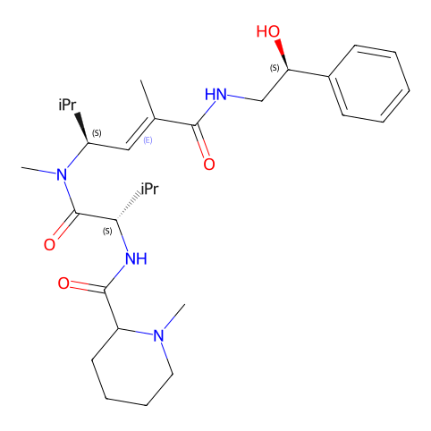 C/C(=C\[C@H](C(C)C)N(C)C(=O)[C@@H](NC(=O)C1CCCCN1C)C(C)C)C(=O)NC[C@@H](O)c1ccccc1